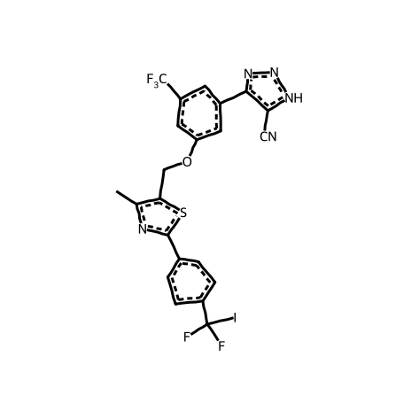 Cc1nc(-c2ccc(C(F)(F)I)cc2)sc1COc1cc(-c2nn[nH]c2C#N)cc(C(F)(F)F)c1